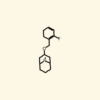 CN1C2CCCC1CC(OCC1=C(F)C=CCC1)C2